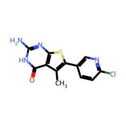 Cc1c(-c2ccc(Cl)nc2)sc2nc(N)[nH]c(=O)c12